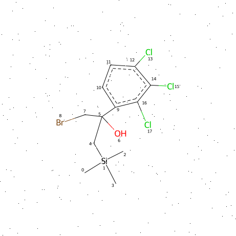 C[Si](C)(C)CC(O)(CBr)c1ccc(Cl)c(Cl)c1Cl